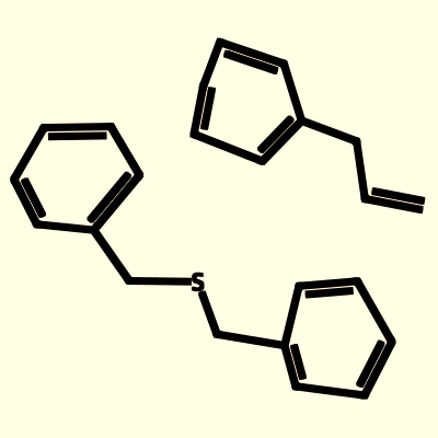 C=CCc1ccccc1.c1ccc(CSCc2ccccc2)cc1